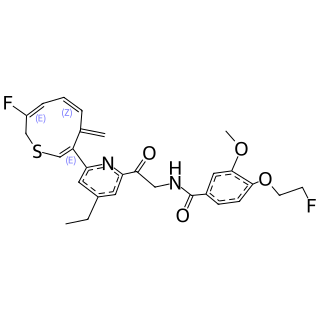 C=C1/C=C\C=C(\F)CS/C=C\1c1cc(CC)cc(C(=O)CNC(=O)c2ccc(OCCF)c(OC)c2)n1